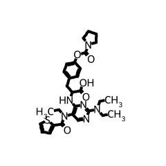 CCN(CC)c1ncc(N(CC)C(=O)c2cccs2)c(NC(Cc2ccc(OC(=O)N3CCCC3)cc2)C(=O)O)n1